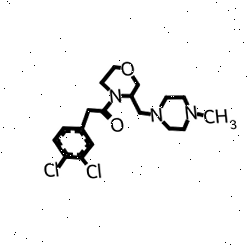 CN1CCN(CC2COCCN2C(=O)Cc2ccc(Cl)c(Cl)c2)CC1